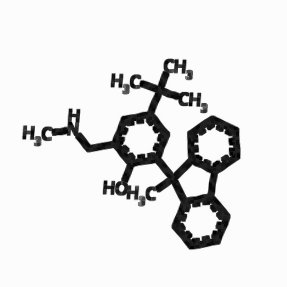 CNCc1cc(C(C)(C)C)cc(C2(C)c3ccccc3-c3ccccc32)c1O